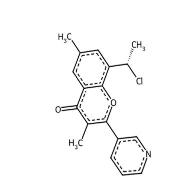 Cc1cc([C@H](C)Cl)c2oc(-c3cccnc3)c(C)c(=O)c2c1